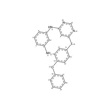 Nc1cccc(Nc2cc(Sc3ccc(Oc4ccccc4)cc3)ncn2)c1